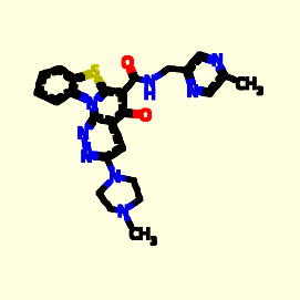 Cc1cnc(CNC(=O)c2c(=O)c3cc(N4CCN(C)CC4)nnc3n3c2sc2ccccc23)cn1